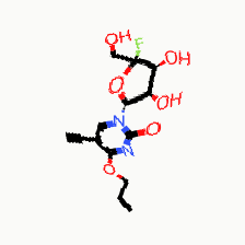 C#Cc1cn([C@@H]2O[C@](F)(CO)[C@@H](O)[C@H]2O)c(=O)nc1OCCC